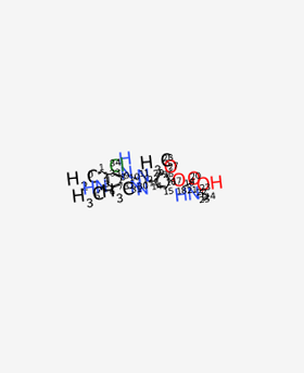 C=Cc1c(NC)ccc(Nc2nc(-c3ccc(OCC(=O)NC4(O)CC4)c(OC)c3)nn2C)c1Cl